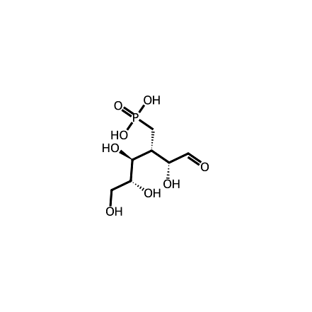 O=C[C@H](O)[C@@H](CP(=O)(O)O)[C@H](O)[C@H](O)CO